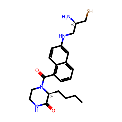 CCCC[C@H]1C(=O)NCCN1C(=O)c1cccc2cc(NC[C@@H](N)CS)ccc12